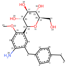 CCc1ccc(Cc2cc([C@@H]3O[C@H](CO)[C@@H](O)[C@H](O)[C@H]3O)c(OC)cc2N)cc1